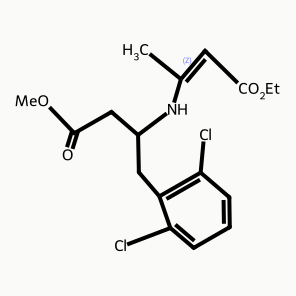 CCOC(=O)/C=C(/C)NC(CC(=O)OC)Cc1c(Cl)cccc1Cl